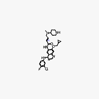 CN(C/C=C/C(=O)Nc1cc2c(Nc3ccc(F)c(Cl)c3)ncnc2cc1OCC1CC1)C1CCNCC1